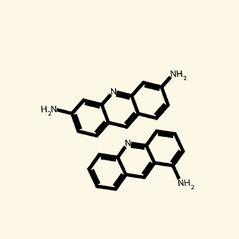 Nc1ccc2cc3ccc(N)cc3nc2c1.Nc1cccc2nc3ccccc3cc12